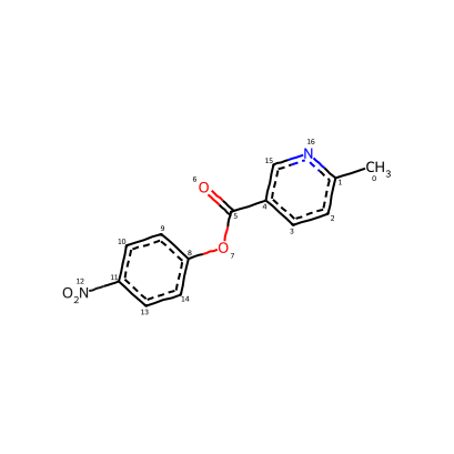 Cc1ccc(C(=O)Oc2ccc([N+](=O)[O-])cc2)cn1